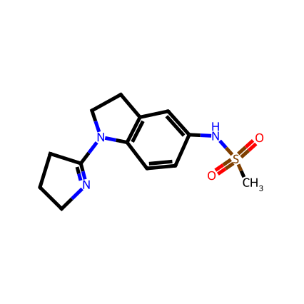 CS(=O)(=O)Nc1ccc2c(c1)CCN2C1=NCCC1